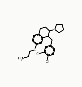 NCCOc1ccc2c(c1)C(Cc1ccc(Cl)c(Cl)c1)C(N1CCCC1)CC2